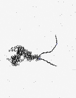 CCCCCCCC/C=C\CCCCCCCCCCCCCCCC(=O)N[C@@H](CO[C@@H]1OC(CO)[C@@H](O[C@@H]2OC(CO)[C@H](O[C@@H]3OC(CO)[C@H](O)[C@H](O[C@@H]4OC(CO[C@@H]5OC(CO)[C@@H](O[C@@H]6OC(CO)[C@H](O)[C@H](O)C6O)[C@H](O)C5NC(C)=O)[C@H](O)[C@H](O[C@@H]5OC(CO)[C@H](O)[C@H](O)C5O)C4NC(C)=O)C3O)[C@H](O)C2O)[C@H](O)C1O)[C@H](O)/C=C/CCCCCCCCCCCCC